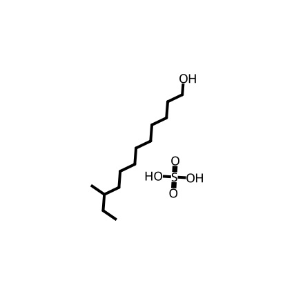 CCC(C)CCCCCCCCCO.O=S(=O)(O)O